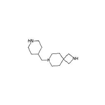 C1CC(CN2CCC3(CC2)CNC3)CCN1